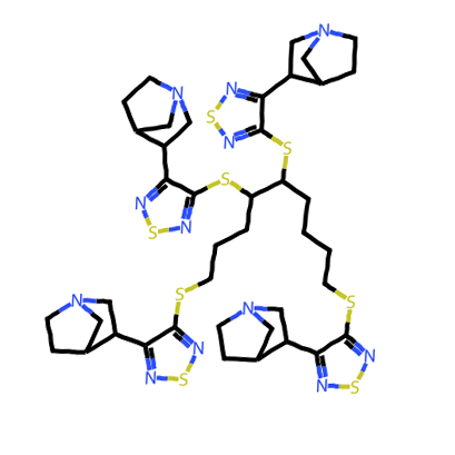 C(CCC(Sc1nsnc1C1CN2CCC1C2)C(CCCSc1nsnc1C1CN2CCC1C2)Sc1nsnc1C1CN2CCC1C2)CSc1nsnc1C1CN2CCC1C2